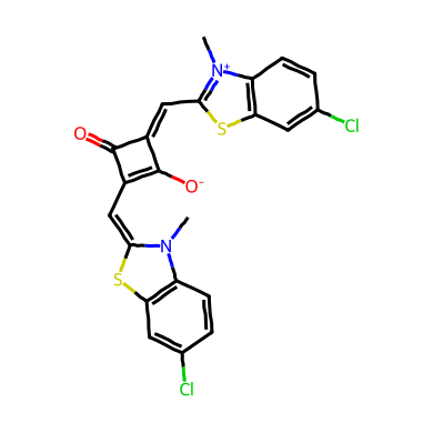 CN1C(=CC2=C([O-])C(=Cc3sc4cc(Cl)ccc4[n+]3C)C2=O)Sc2cc(Cl)ccc21